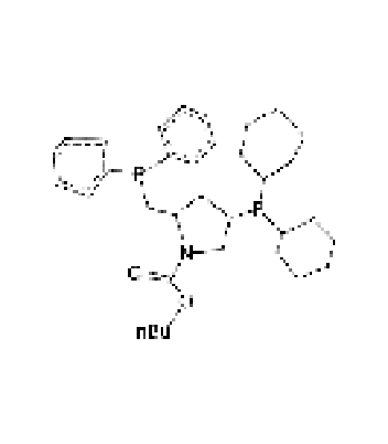 CCCCOC(=O)N1CC(P(C2CCCCC2)C2CCCCC2)CC1CP(c1ccccc1)c1ccccc1